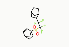 O=S(=O)(C12C=CC(CC1)C2)C(F)(F)C(F)(F)C1CC2CCC1C2